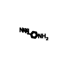 [N-]=[N+]=NC[C@H]1CC[C@H](N)CC1